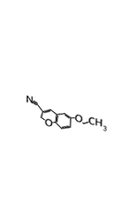 CCOc1ccc2c(c1)C=C(C#N)CO2